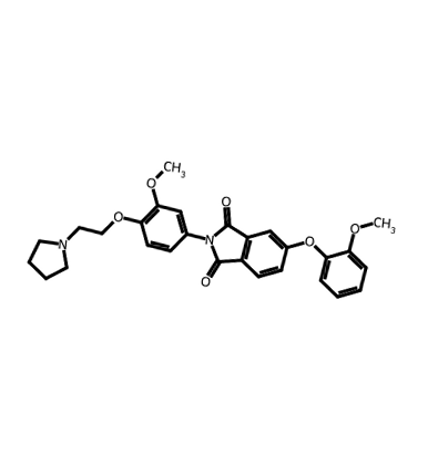 COc1cc(N2C(=O)c3ccc(Oc4ccccc4OC)cc3C2=O)ccc1OCCN1CCCC1